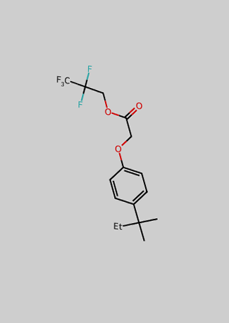 CCC(C)(C)c1ccc(OCC(=O)OCC(F)(F)C(F)(F)F)cc1